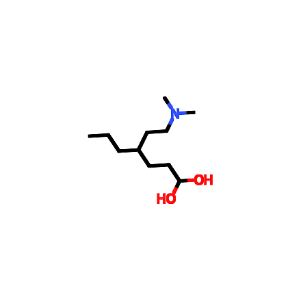 CCCC(CCC(O)O)CCN(C)C